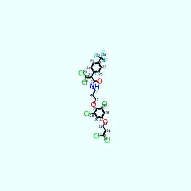 O=C(NCCCOc1c(Cl)cc(OCC=C(Cl)Cl)cc1Cl)C(=C(Cl)Cl)c1ccc(C(F)(F)F)cc1